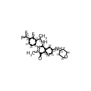 C[C@@H](Nc1nn(C)c(=O)c2ncc(NC3CCOCC3)cc12)c1cccc(C(F)F)c1F